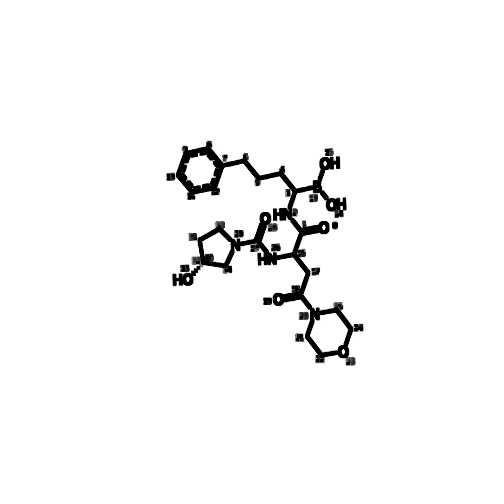 O=C(NC(CCCc1ccccc1)B(O)O)C(CC(=O)N1CCOCC1)NC(=O)N1CC[C@@H](O)C1